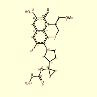 COC[C@H]1COc2c(N3CC[C@@H](C4(NC(=O)OC(C)(C)C)CC4)C3)c(F)cc3cc(C(=O)O)c(=O)n1c23